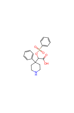 O=C(O)C(OS(=O)(=O)c1ccccc1)C1(c2ccccc2)CCNCC1